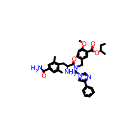 CCC(C)OC(=O)c1cc(CN(C(=O)[C@@H](N)Cc2c(C)cc(C(N)=O)cc2C)[C@@H](C)n2cnc(-c3ccccc3)c2)ccc1OC